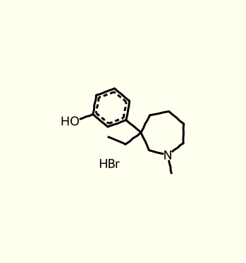 Br.CCC1(c2cccc(O)c2)CCCCN(C)C1